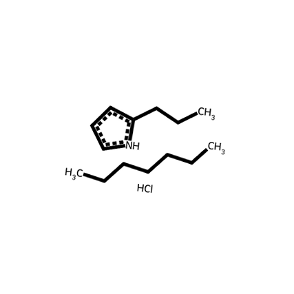 CCCCCCC.CCCc1ccc[nH]1.Cl